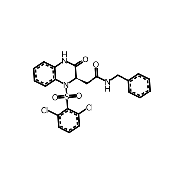 O=C(C[C@@H]1C(=O)Nc2ccccc2N1S(=O)(=O)c1c(Cl)cccc1Cl)NCc1ccccc1